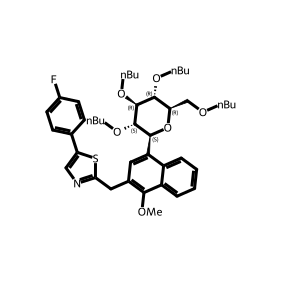 CCCCOC[C@H]1O[C@@H](c2cc(Cc3ncc(-c4ccc(F)cc4)s3)c(OC)c3ccccc23)[C@H](OCCCC)[C@@H](OCCCC)[C@@H]1OCCCC